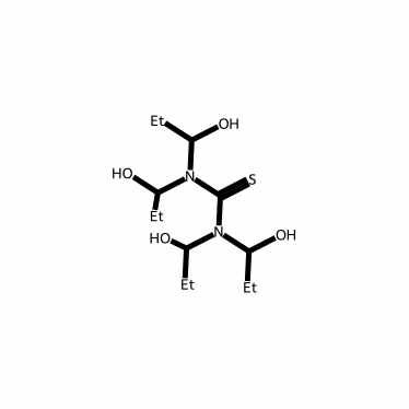 CCC(O)N(C(=S)N(C(O)CC)C(O)CC)C(O)CC